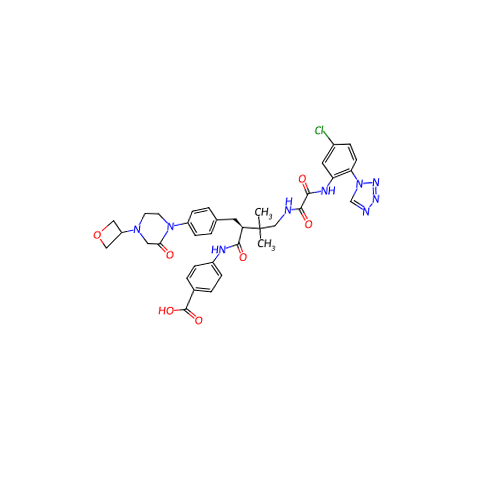 CC(C)(CNC(=O)C(=O)Nc1cc(Cl)ccc1-n1cnnn1)[C@H](Cc1ccc(N2CCN(C3COC3)CC2=O)cc1)C(=O)Nc1ccc(C(=O)O)cc1